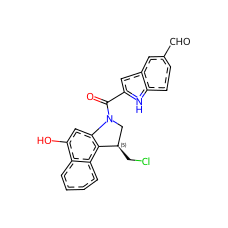 O=Cc1ccc2[nH]c(C(=O)N3C[C@@H](CCl)c4c3cc(O)c3ccccc43)cc2c1